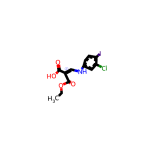 CCOC(=O)/C(=C\Nc1ccc(I)c(Cl)c1)C(=O)O